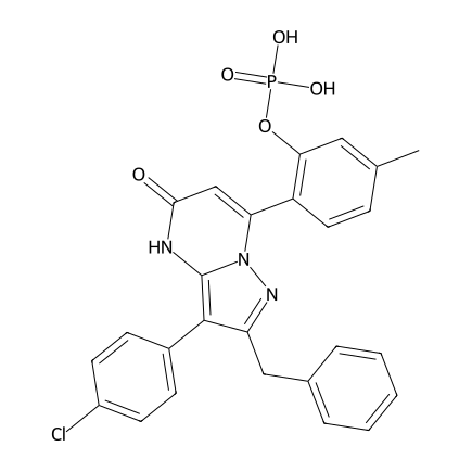 Cc1ccc(-c2cc(=O)[nH]c3c(-c4ccc(Cl)cc4)c(Cc4ccccc4)nn23)c(OP(=O)(O)O)c1